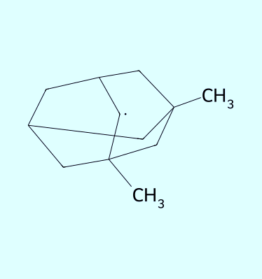 CC12[CH]C3CC(C1)CC(C)(C3)C2